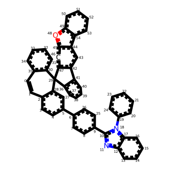 C1=Cc2ccc(-c3ccc(-c4nc5ccccc5n4-c4ccccc4)cc3)cc2C2(c3ccccc31)c1ccccc1-c1cc3c(cc12)oc1ccccc13